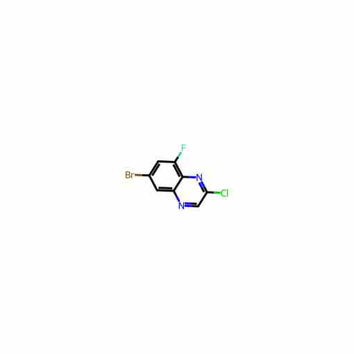 Fc1cc(Br)cc2ncc(Cl)nc12